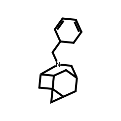 C1=CCC(CN2CC3CC4CC45CC2C5C3)C=C1